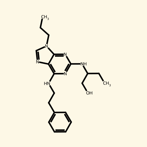 CCCn1cnc2c(NCCc3ccccc3)nc(NC(CC)CO)nc21